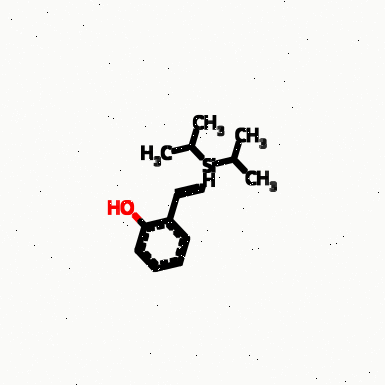 CC(C)[SiH](C=Cc1ccccc1O)C(C)C